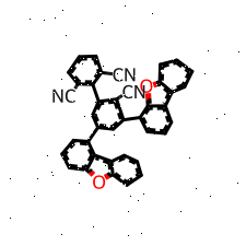 N#Cc1cccc(C#N)c1-c1cc(-c2cccc3oc4ccccc4c23)cc(-c2cccc3c2oc2ccccc23)c1C#N